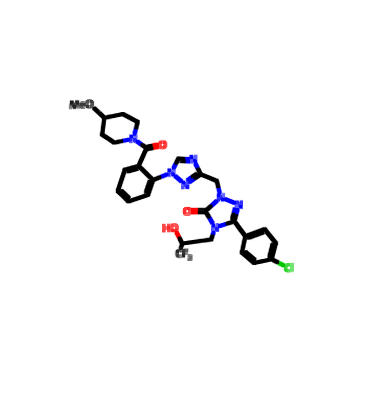 COC1CCN(C(=O)c2ccccc2-n2cnc(Cn3nc(-c4ccc(Cl)cc4)n(CC(O)C(F)(F)F)c3=O)n2)CC1